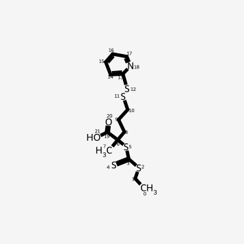 CCSC(=S)SC(C)(CCCSSc1ccccn1)C(=O)O